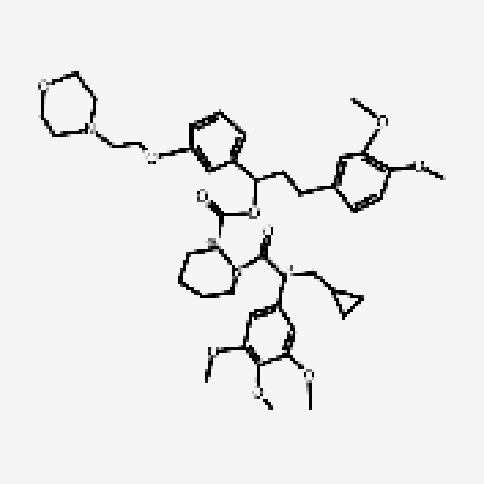 COc1ccc(CCC(OC(=O)[C@@H]2CCCCN2C(=O)[C@@H](CC2CC2)c2cc(OC)c(OC)c(OC)c2)c2cccc(OCCN3CCOCC3)c2)cc1OC